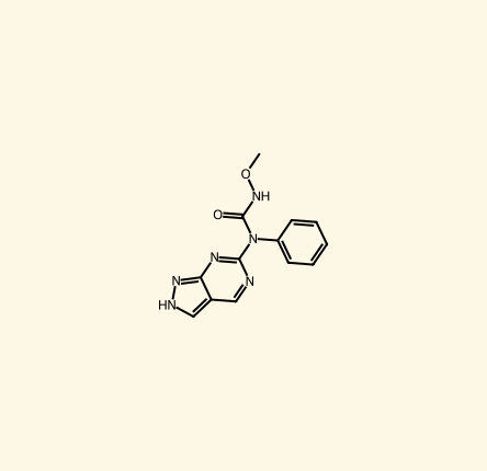 CONC(=O)N(c1ccccc1)c1ncc2c[nH]nc2n1